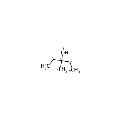 CCC(O)(P)CC